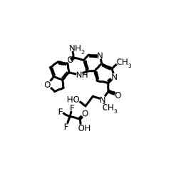 Cc1nc(C(=O)N(C)CCO)cc2c(Nc3cccc4c3CCO4)c(C(N)=O)cnc12.O=C(O)C(F)(F)F